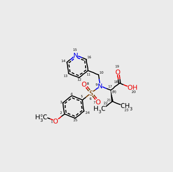 COc1ccc(S(=O)(=O)N(Cc2cccnc2)[C@@H](C(=O)O)C(C)C)cc1